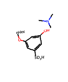 CCCCCCOc1cc(O)cc(S(=O)(=O)O)c1.CN(C)C